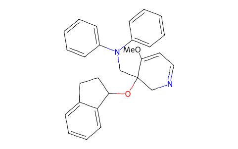 COC1=CC=NCC1(CN(c1ccccc1)c1ccccc1)OC1CCc2ccccc21